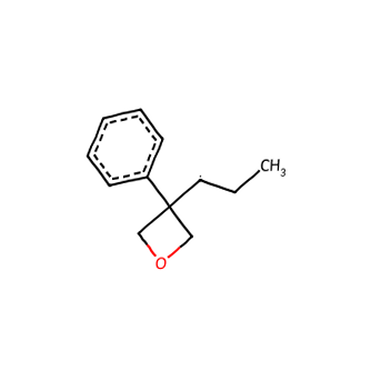 CC[CH]C1(c2ccccc2)COC1